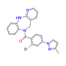 Cc1ccn(-c2ccc(C(=O)N3Cc4cccnc4Nc4ccccc43)c(Br)c2)n1